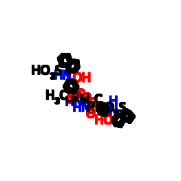 Cc1cc(Nc2c(O)ccc3cccc(S(=O)(=O)O)c23)ccc1S(=O)(=O)NC(=O)NS(=O)(=O)c1ccc(Nc2c(O)ccc3cccc(S(=O)(=O)O)c23)cc1C